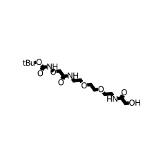 CC(C)(C)OC(=O)NOCC(=O)NCCOCCOCCNC(=O)CO